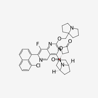 O=C1C[C@H](C(=O)N2[C@@H]3CC[C@H]2CN(c2nc(OCC45CCCN4CCC5)nc4c(F)c(-c5cccc6cccc(Cl)c56)ncc24)C3)O1